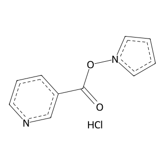 Cl.O=C(On1cccc1)c1cccnc1